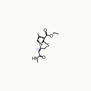 CCOC(=O)c1c(C)cn2c1SC/C2=C\C(=O)NC